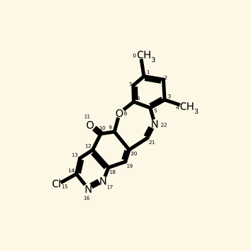 Cc1cc(C)c2c(c1)OC1C(=O)c3cc(Cl)nnc3C=C1C=N2